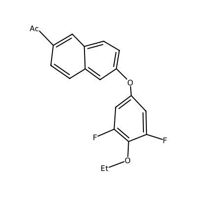 CCOc1c(F)cc(Oc2ccc3cc(C(C)=O)ccc3c2)cc1F